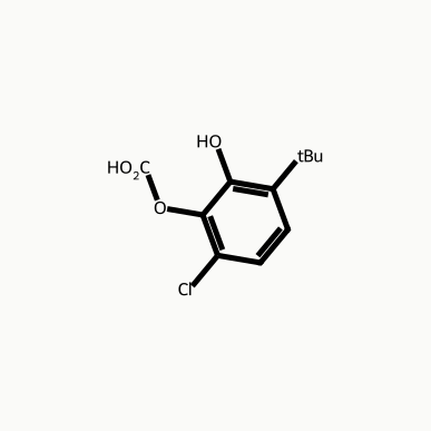 CC(C)(C)c1ccc(Cl)c(OC(=O)O)c1O